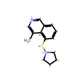 Cc1cncc2cccc(SN3CCCC3)c12